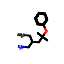 CC(C)(CC(CN)CC(=O)O)Oc1ccccc1